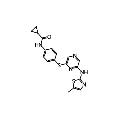 Cc1cnc(Nc2cncc(Sc3ccc(NC(=O)C4CC4)cc3)n2)s1